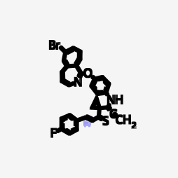 C=C=C(Nc1ccc(OC2=NC=C=CC3=CC(Br)=CC=C=C32)cc1)C1(C(=S)/C=C/c2ccc(F)cc2)CC1